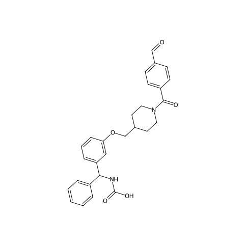 O=Cc1ccc(C(=O)N2CCC(COc3cccc(C(NC(=O)O)c4ccccc4)c3)CC2)cc1